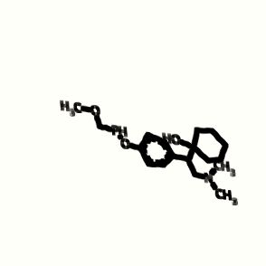 COCPOc1ccc(C(CN(C)C)C2(O)CCCCC2)cc1